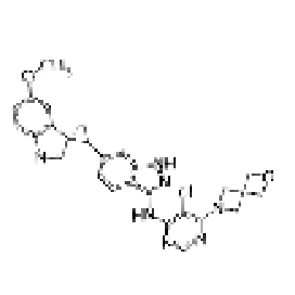 COc1ccc2c(c1)[C@@]1(C=N2)C[C@H]1c1ccc2c(Nc3ncnc(N4CC5(COC5)C4)c3Cl)n[nH]c2c1